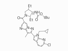 CCC1CN(C(=O)c2cnc3c(C)c(-c4cc5ccc(Cl)nc5n4CC4CC4)nn3c2)C(CC)[C@@H]1NC(=O)OC(C)(C)C